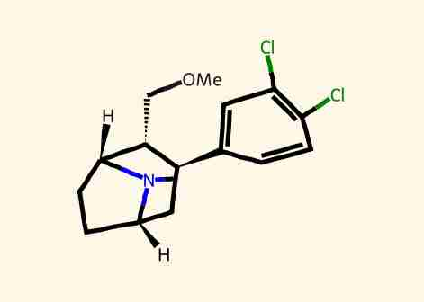 COC[C@@H]1[C@@H](c2ccc(Cl)c(Cl)c2)C[C@@H]2CC[C@H]1N2C